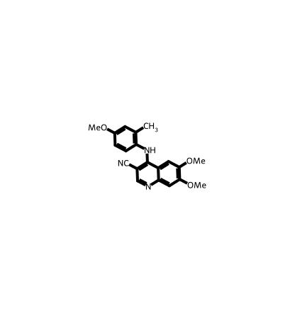 COc1ccc(Nc2c(C#N)cnc3cc(OC)c(OC)cc23)c(C)c1